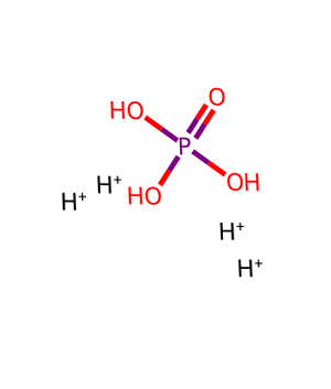 O=P(O)(O)O.[H+].[H+].[H+].[H+]